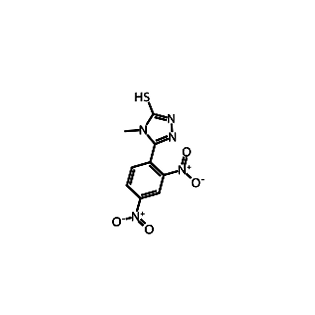 Cn1c(S)nnc1-c1ccc([N+](=O)[O-])cc1[N+](=O)[O-]